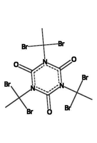 CC(Br)(Br)n1c(=O)n(C(C)(Br)Br)c(=O)n(C(C)(Br)Br)c1=O